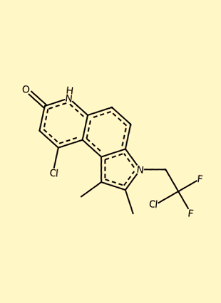 Cc1c(C)n(CC(F)(F)Cl)c2ccc3[nH]c(=O)cc(Cl)c3c12